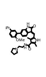 COc1ccc(C(C)C)cc1-c1ccc2c(c1)NC(=O)C2=Cc1[nH]c(C)c(C(=O)NCCN2CCCC2)c1C